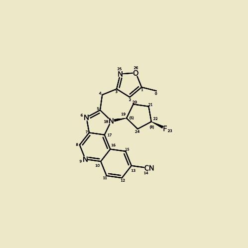 Cc1cc(Cc2nc3cnc4ccc(C#N)cc4c3n2[C@H]2CC[C@@H](F)C2)no1